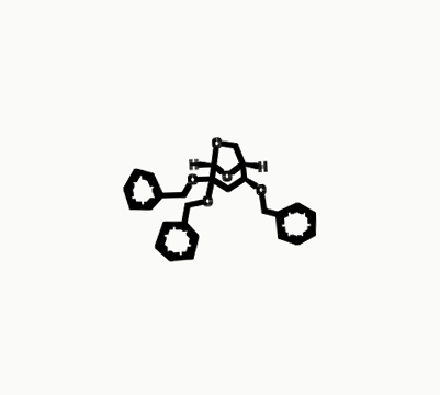 c1ccc(CO[C@H]2CC(OCc3ccccc3)(OCc3ccccc3)[C@@H]3OC[C@H]2O3)cc1